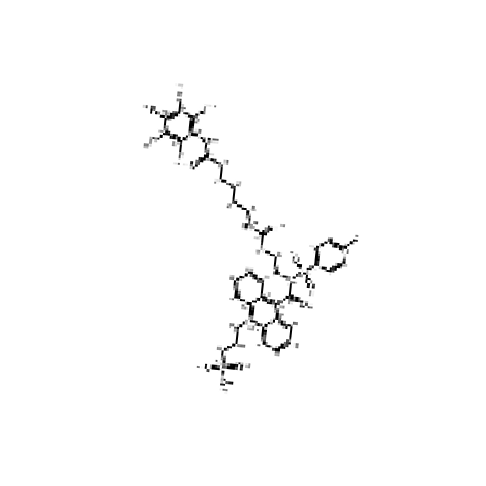 Cc1ccc(S(=O)(=O)N(CCCC(=O)NCCCCCC(=O)Oc2c(F)c(F)c(F)c(F)c2F)C(=O)c2c3ccccc3[n+](CCCS(=O)(=O)O)c3ccccc23)cc1